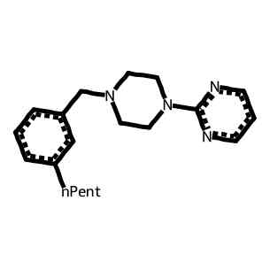 CCCCCc1cccc(CN2CCN(c3ncccn3)CC2)c1